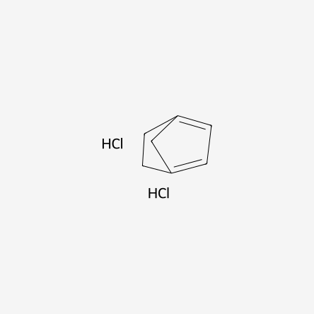 C1=C2CCC(=C1)C2.Cl.Cl